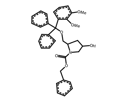 COc1cccc(C(OCC2CC(O)CN2C(=O)OCc2ccccc2)(c2ccccc2)c2ccccc2)c1OC